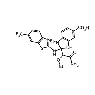 CCOC(C(N)=O)C1(Nc2nc3ccc(C(F)(F)F)cc3s2)Nc2cc(C(=O)O)ccc2N1CC